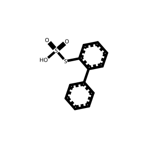 O=S(=O)(O)Sc1ccccc1-c1ccccc1